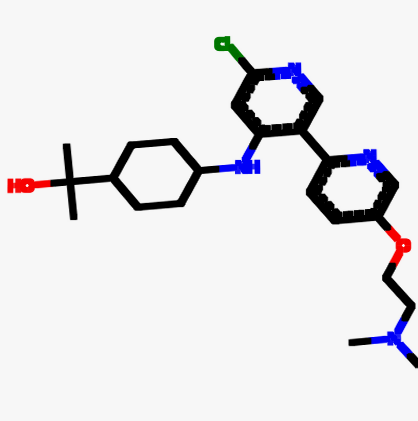 CN(C)CCOc1ccc(-c2cnc(Cl)cc2NC2CCC(C(C)(C)O)CC2)nc1